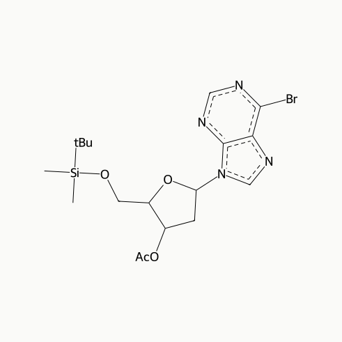 CC(=O)OC1CC(n2cnc3c(Br)ncnc32)OC1CO[Si](C)(C)C(C)(C)C